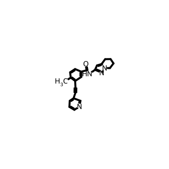 Cc1ccc(C(=O)Nc2cc3n(n2)CCCC3)cc1C#Cc1cccnc1